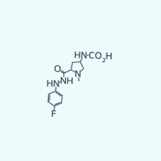 CN1CC(NC(=O)O)CC1C(=O)NNc1ccc(F)cc1